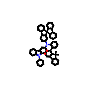 CC1(C)c2ccccc2-c2cccc(-c3ccccc3N(c3ccc4c(c3)C3(c5ccccc5-c5ccccc53)c3ccccc3-4)c3ccc4c(c3)c3ccccc3n4-c3ccccc3)c21